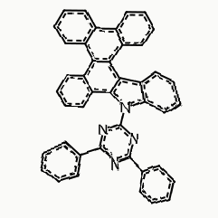 c1ccc(-c2nc(-c3ccccc3)nc(-n3c4ccccc4c4c5c6ccccc6c6ccccc6c5c5ccccc5c43)n2)cc1